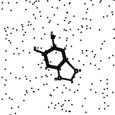 Cc1cc2c(cc1Br)OCO2